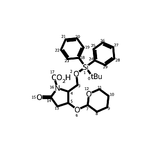 CC(C)(C)[Si](OCC1C(OC2CCCCO2)CC(=O)N1C(=O)O)(c1ccccc1)c1ccccc1